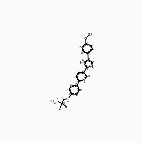 CCOc1ccc(-c2cnc(-c3ccc(-c4ccc(OCC(C)(C)C(=O)O)cc4)nc3)[nH]2)cc1